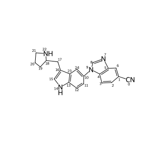 N#Cc1ccc2c(c1)ncn2-c1ccc2[nH]cc(CC3CCCN3)c2c1